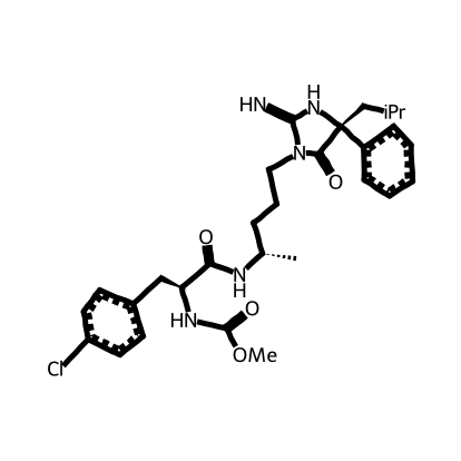 COC(=O)N[C@@H](Cc1ccc(Cl)cc1)C(=O)N[C@@H](C)CCCN1C(=N)N[C@](CC(C)C)(c2ccccc2)C1=O